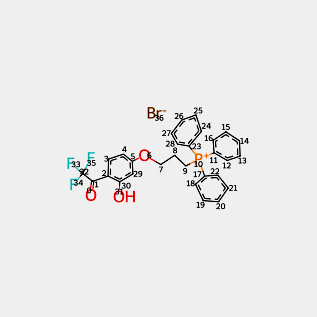 O=C(c1ccc(OCCC[P+](c2ccccc2)(c2ccccc2)c2ccccc2)cc1O)C(F)(F)F.[Br-]